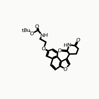 CC(C)(C)OC(=O)NCCOc1ccc2c(ccc3occ(C4CCC(=O)NC4=O)c32)c1